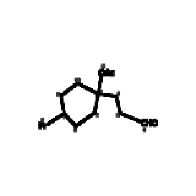 CC(=O)OC1(CCC=O)CCC(C(C)C)CC1